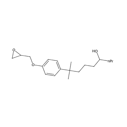 CCCC(O)CCCC(C)(C)c1ccc(OCC2CO2)cc1